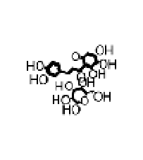 O=C1C=C(O)C(O)C(O)=C1C(=O)/C=C/c1ccc(O)c(O)c1.OC[C@H]1O[C@@H](O)[C@H](O)[C@@H](O)[C@@H]1O